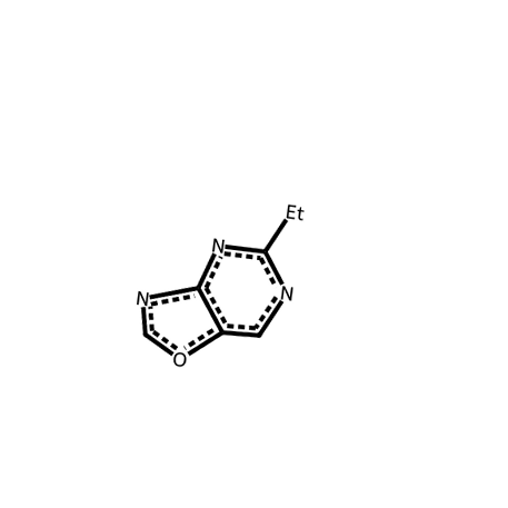 CCc1ncc2ocnc2n1